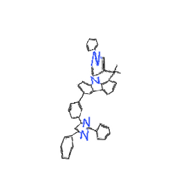 CC1(C)c2cn(-c3ccccc3)cc2-n2c3ccc(-c4cccc(-c5cc(-c6ccccc6)nc(-c6ccccc6)n5)c4)cc3c3cccc1c32